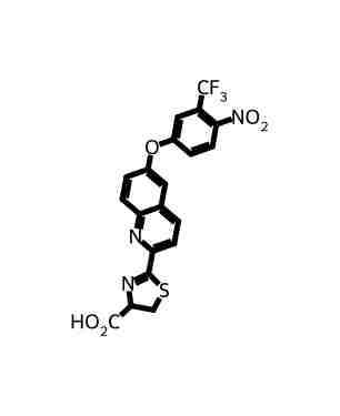 O=C(O)C1CSC(c2ccc3cc(Oc4ccc([N+](=O)[O-])c(C(F)(F)F)c4)ccc3n2)=N1